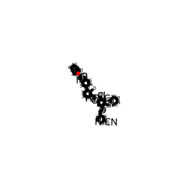 Cc1c(COc2cc(OCc3cncc(C#N)c3)c(CN3CCCCC3C(=O)O)cc2Cl)cccc1-c1ccc2oc(C3CC4CCC(C3)N4C)nc2c1